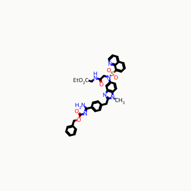 CCOC(=O)CNC(=O)CN(c1ccc2c(c1)nc(Cc1ccc(/C(N)=N/C(=O)OCc3ccccc3)cc1)n2C)S(=O)(=O)c1cccc2cccnc12